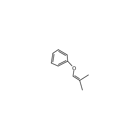 CC(C)=COc1ccccc1